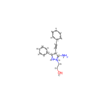 Nc1c(C#Cc2ccccc2)c(-c2ccccc2)nn1CCO